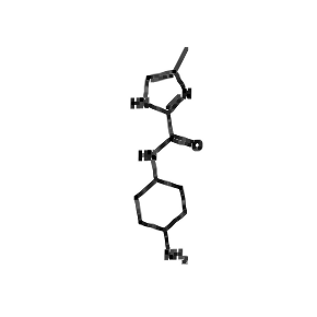 Cc1c[nH]c(C(=O)NC2CCC(N)CC2)n1